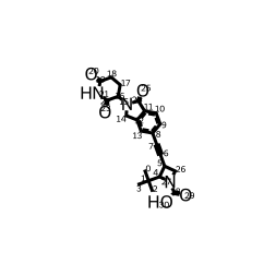 CC(C)(C)C1C(C#Cc2ccc3c(c2)CN(C2CCC(=O)NC2=O)C3=O)CN1C(=O)O